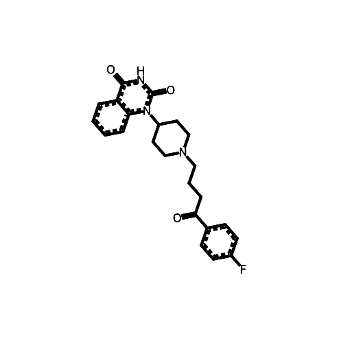 O=C(CCCN1CCC(n2c(=O)[nH]c(=O)c3ccccc32)CC1)c1ccc(F)cc1